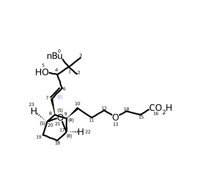 CCCCC(C)(C)C(O)/C=C/[C@H]1[C@@H](CCCOCCC(=O)O)[C@H]2CC[C@@H]1O2